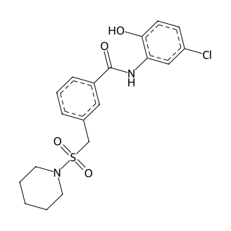 O=C(Nc1cc(Cl)ccc1O)c1cccc(CS(=O)(=O)N2CCCCC2)c1